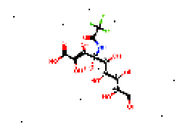 O=C(O)C(O)=C(O)[C@@](O)(NC(=O)C(F)(F)F)[C@@H](O)[C@@H](O)[C@H](O)[C@H](O)CO